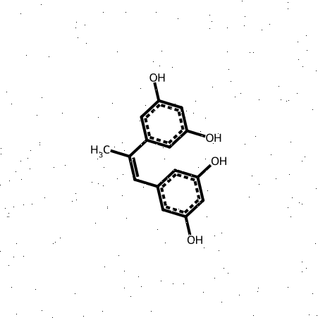 CC(=Cc1cc(O)cc(O)c1)c1cc(O)cc(O)c1